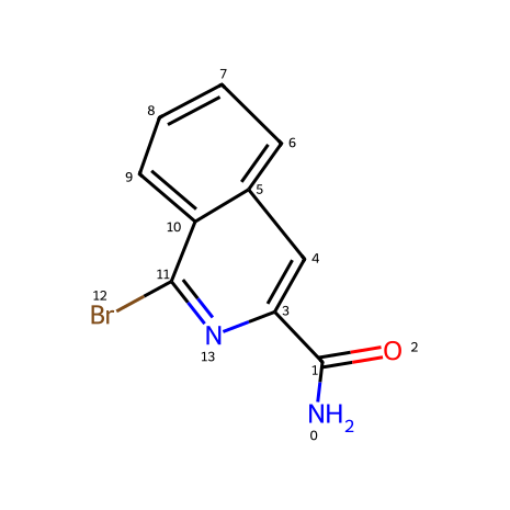 NC(=O)c1cc2ccccc2c(Br)n1